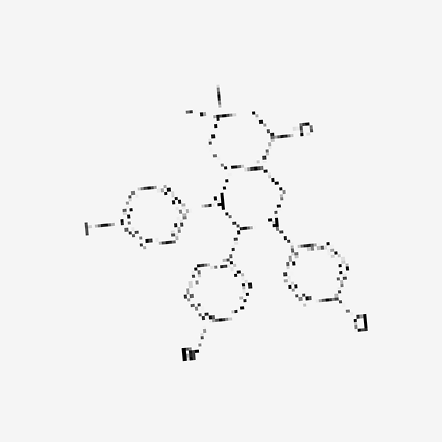 CC1(C)CC(=O)C2=C(C1)N(c1ccc(F)cc1)C(c1ccc(Br)cc1)N(c1ccc(Cl)cc1)C2